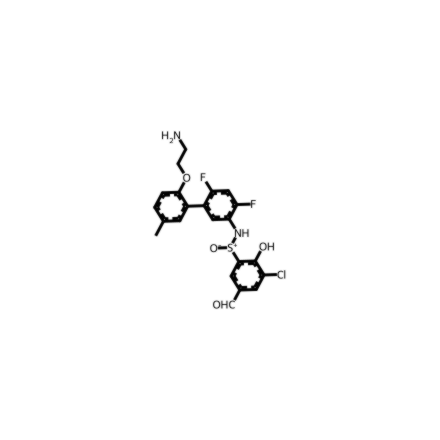 Cc1ccc(OCCN)c(-c2cc(N[S+]([O-])c3cc(C=O)cc(Cl)c3O)c(F)cc2F)c1